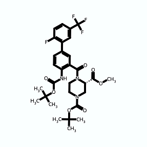 COC(=O)[C@@H]1CN(C(=O)OC(C)(C)C)CCN1C(=O)c1cc(-c2cc(C(F)(F)F)ccc2F)ccc1NC(=O)OC(C)(C)C